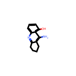 Nc1c2c(nc3cccc(O)c13)CCCC2